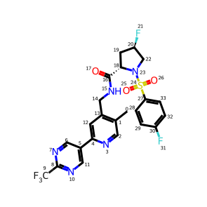 Cc1cnc(-c2cnc(C(F)(F)F)nc2)cc1CNC(=O)[C@@H]1C[C@@H](F)CN1S(=O)(=O)c1ccc(F)cc1